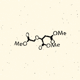 COC(=O)COC(CC(=O)OC)C(=O)OC